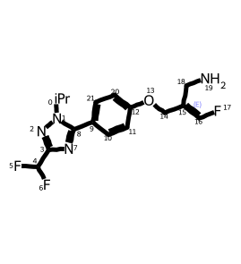 CC(C)n1nc(C(F)F)nc1-c1ccc(OC/C(=C/F)CN)cc1